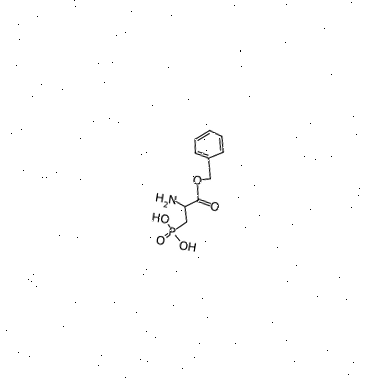 NC(CP(=O)(O)O)C(=O)OCc1ccccc1